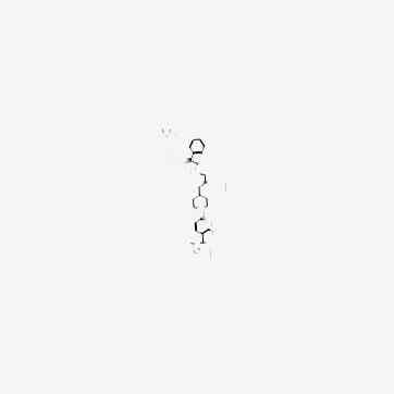 COc1cccc([C@@](O)(C(=O)NC[C@H](C)CC2CCN(c3ccc(C(=O)N(C)C)c(Cl)n3)CC2)C(F)(F)F)c1